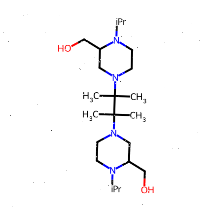 CC(C)N1CCN(C(C)(C)C(C)(C)N2CCN(C(C)C)C(CO)C2)CC1CO